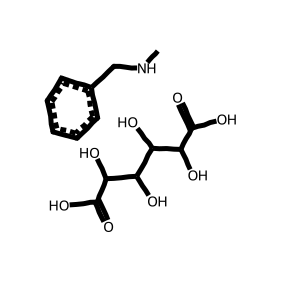 CNCc1ccccc1.O=C(O)C(O)C(O)C(O)C(O)C(=O)O